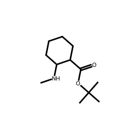 CNC1CCCCC1C(=O)OC(C)(C)C